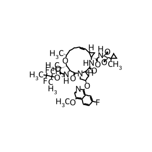 CC[C@@H]1O[C@H](C)CC/C=C\[C@@H]2C[C@@]2(C(=O)NS(=O)(=O)C2(C)CC2)NC(=O)[C@@H]2C[C@@H](Oc3ncc(OC)c4ccc(F)cc34)CN2C(=O)[C@H]1NC(=O)OC(C)(C)C(C)(F)F